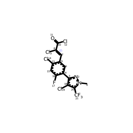 Cn1nc(-c2cc(/C=C(\Cl)C(=O)Cl)c(Cl)cc2F)c(Cl)c1C(F)(F)F